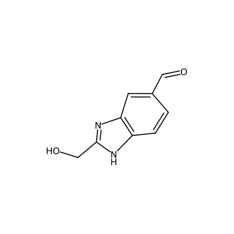 O=Cc1ccc2[nH]c(CO)nc2c1